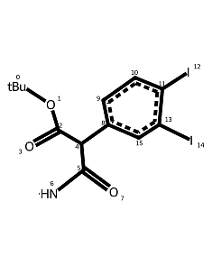 CC(C)(C)OC(=O)C(C([NH])=O)c1ccc(I)c(I)c1